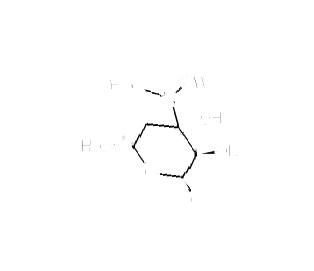 C[C@@H]1C[C@@](O)(N(C)C)[C@@H](O)[C@@H](O)O1